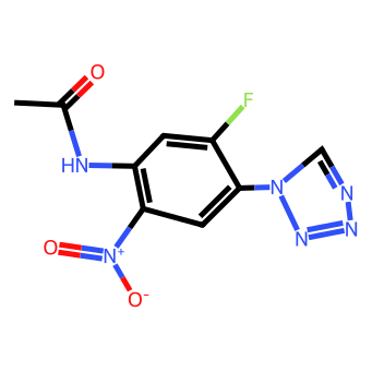 CC(=O)Nc1cc(F)c(-n2cnnn2)cc1[N+](=O)[O-]